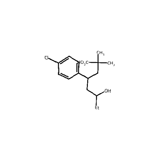 CCC(O)CC(CC(C)(C)C(=O)O)c1ccc(Cl)cc1